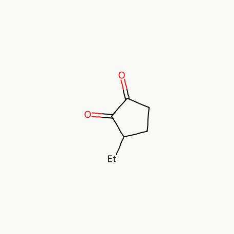 CCC1CCC(=O)C1=O